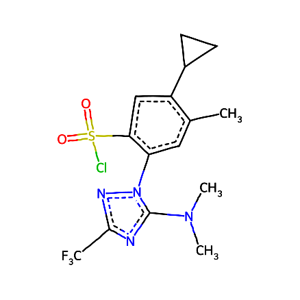 Cc1cc(-n2nc(C(F)(F)F)nc2N(C)C)c(S(=O)(=O)Cl)cc1C1CC1